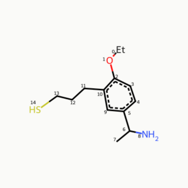 CCOc1ccc(C(C)N)cc1CCCS